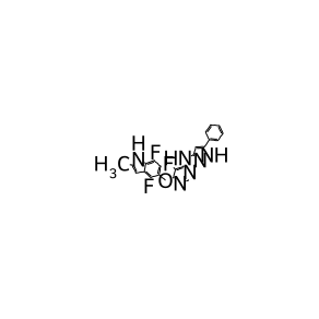 Cc1cc2c(F)c(Oc3ncnc(Nc4cc(-c5ccccc5)[nH]n4)c3F)cc(F)c2[nH]1